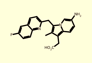 Cc1c(CC(=O)O)c2ccc(N)cn2c1Cc1ccc2cc(F)ccc2n1